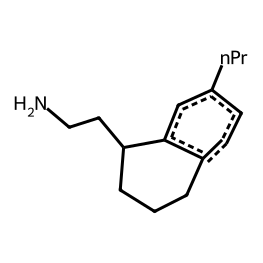 CCCc1ccc2c(c1)C(CCN)CCC2